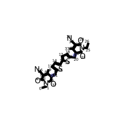 CCN1C(=O)C(C#N)=C(C)/C(=C\c2ccc(-c3ccc(/C=C4/C(=O)N(CC)C(=O)C(C#N)=C4C)s3)s2)C1=O